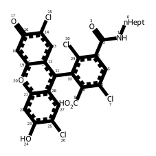 CCCCCCCNC(=O)c1cc(Cl)c(C(=O)O)c(-c2c3cc(Cl)c(=O)cc-3oc3cc(O)c(Cl)cc23)c1Cl